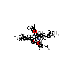 CB(c1ccccc1)n1c(-c2ccc(OC(=O)c3ccc4c(c3)C(=O)N(C)C4=O)cc2)c2/c(=C(\C#N)c3cnc4cc(Cl)c(C)cc4n3)n(B(c3ccccc3)c3ccccc3)c(-c3ccc(OC(=O)c4ccc5c(c4)C(=O)N(C)C5=O)cc3)c2/c1=C(\C#N)c1ccc2cc(Cl)c(Cl)cc2c1